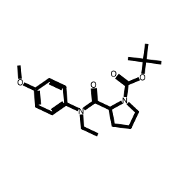 CCN(C(=O)C1CCCN1C(=O)OC(C)(C)C)c1ccc(OC)cc1